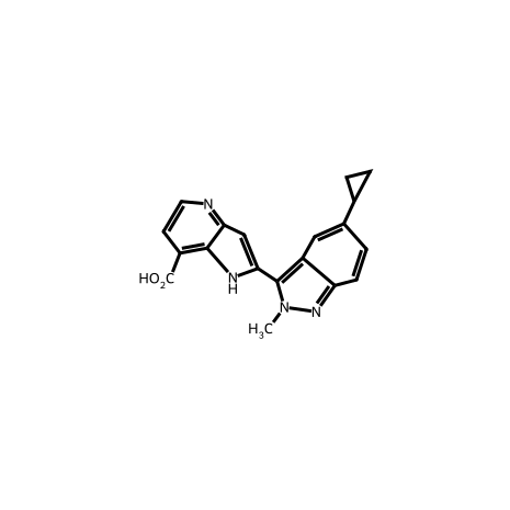 Cn1nc2ccc(C3CC3)cc2c1-c1cc2nccc(C(=O)O)c2[nH]1